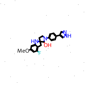 COc1cc(F)c2c(c1)NC1(CCN(c3ccc(-c4cn[nH]c4)cc3)C1O)C2